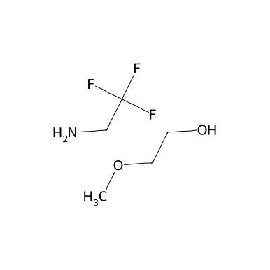 COCCO.NCC(F)(F)F